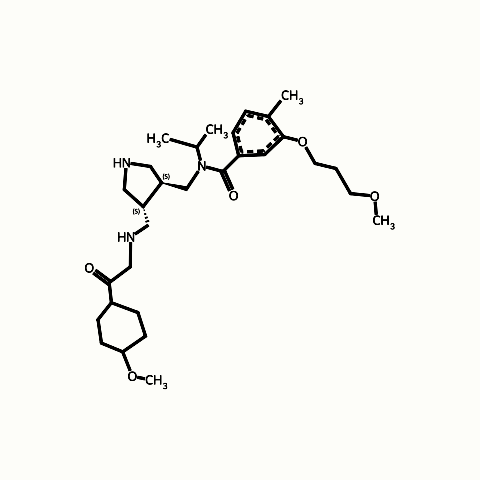 COCCCOc1cc(C(=O)N(C[C@@H]2CNC[C@H]2CNCC(=O)C2CCC(OC)CC2)C(C)C)ccc1C